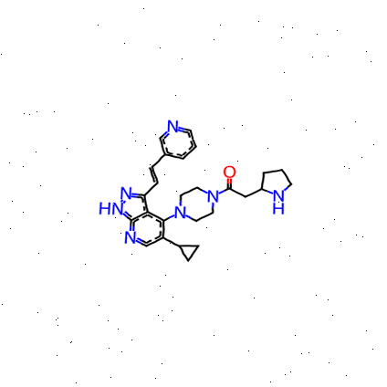 O=C(CC1CCCN1)N1CCN(c2c(C3CC3)cnc3[nH]nc(/C=C/c4cccnc4)c23)CC1